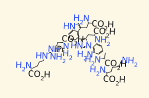 CC(C)CC(N)C(=O)O.CC(N)C(=O)O.N=C(N)NCCCC(N)C(=O)O.NC(Cc1c[nH]c2ccccc12)C(=O)O.NC(Cc1c[nH]cn1)C(=O)O.NCCCCC(N)C(=O)O.Nc1ccccc1